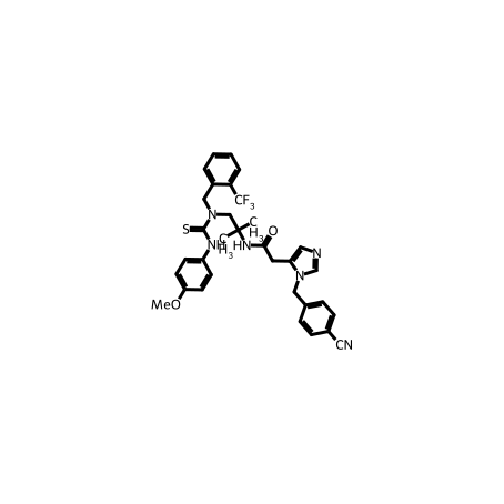 COc1ccc(NC(=S)N(Cc2ccccc2C(F)(F)F)CC(C)(C)NC(=O)Cc2cncn2Cc2ccc(C#N)cc2)cc1